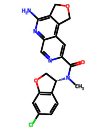 CN(C(=O)c1cc2c3c(c(N)nc2cn1)COC3)[C@H]1COc2cc(Cl)ccc21